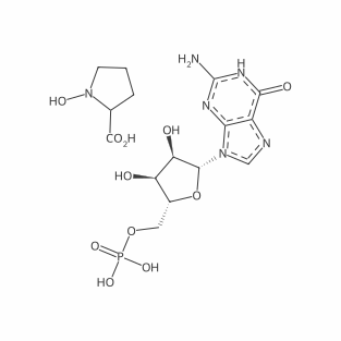 Nc1nc2c(ncn2[C@@H]2O[C@H](COP(=O)(O)O)[C@@H](O)[C@H]2O)c(=O)[nH]1.O=C(O)C1CCCN1O